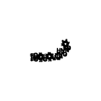 O=C(Nc1noc2ccccc12)N1CCN(Cc2cccc(Oc3ccc4c(c3)OC(F)(F)O4)c2)CC1